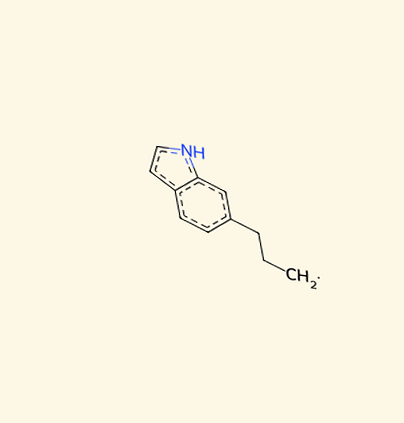 [CH2]CCc1ccc2cc[nH]c2c1